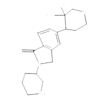 CC1(C)CNCCC1c1ccc2c(c1)CN(C1CCCNC1)C2=O